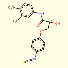 C[C@](O)(COc1ccc(N=C=S)cc1)C(=O)Nc1ccc([N+](=O)[O-])c(C(F)(F)F)c1